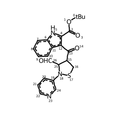 CC(C)(C)OC(=O)c1[nH]c2ccccc2c1C(=O)C1CSN(c2cccnc2)C1C=O